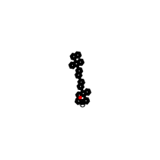 c1ccc2c(-c3c4ccccc4c(-c4ccc5cc(-c6ccc7cc(-c8c9ccccc9c(-c9cccc%10oc%11ccccc%11c9%10)c9ccccc89)ccc7c6)ccc5c4)c4ccccc34)cccc2c1